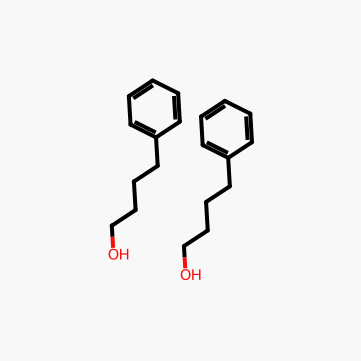 OCCCCc1ccccc1.OCCCCc1ccccc1